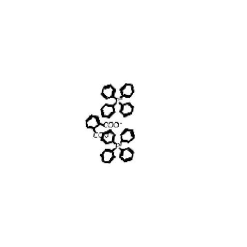 O=C([O-])c1ccccc1C(=O)[O-].c1ccc([P+](c2ccccc2)(c2ccccc2)c2ccccc2)cc1.c1ccc([P+](c2ccccc2)(c2ccccc2)c2ccccc2)cc1